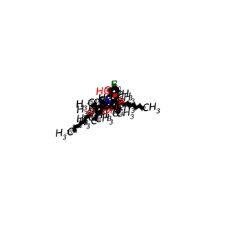 CCCCCCCCOc1c(C(C)(C)C)cc(C(O)(c2cc(C(C)(C)C)c(OCCCCCCCC)c(C(C)(C)C)c2)C(CC)N=Cc2cccc(F)c2O)cc1C(C)(C)C